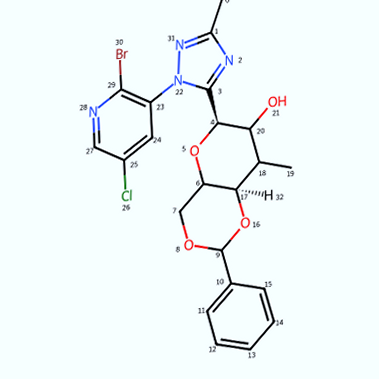 Cc1nc([C@@H]2OC3COC(c4ccccc4)O[C@@H]3C(C)C2O)n(-c2cc(Cl)cnc2Br)n1